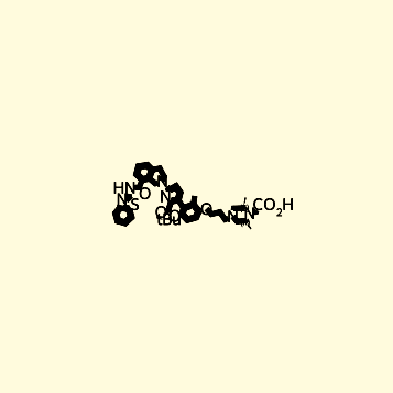 Cc1c(OCCCN2C[C@@H](C)N(CC(=O)O)[C@@H](C)C2)cccc1-c1ccc(N2CCc3cccc(C(=O)Nc4nc5ccccc5s4)c3C2)nc1C(=O)OC(C)(C)C